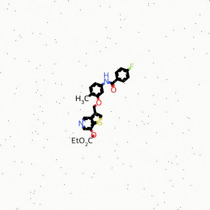 CCOC(=O)Oc1cncc2c(COc3cc(NC(=O)c4ccc(F)cc4)ccc3C)csc12